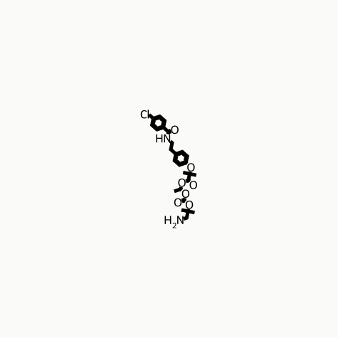 CC(OC(=O)OC(C)(C)CN)OC(=O)C(C)(C)Oc1ccc(CCNC(=O)c2ccc(Cl)cc2)cc1